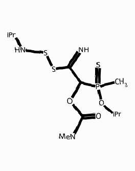 CNC(=O)OC(C(=N)SSNC(C)C)P(C)(=S)OC(C)C